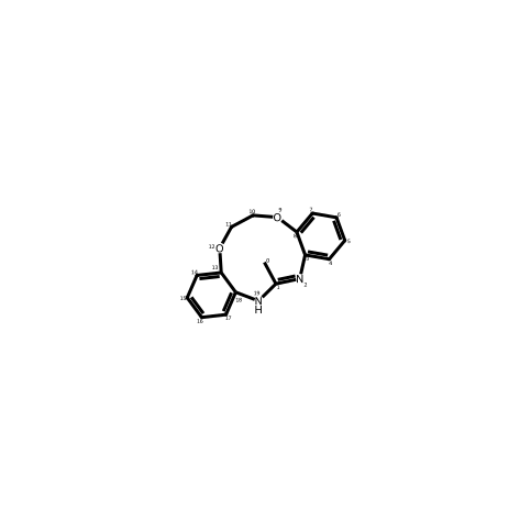 C/C1=N\c2ccccc2OCCOc2ccccc2N1